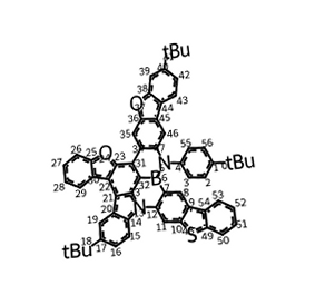 CC(C)(C)c1ccc(N2B3c4cc5c(cc4-n4c6ccc(C(C)(C)C)cc6c6c7c(oc8ccccc87)c(c3c64)-c3cc4oc6cc(C(C)(C)C)ccc6c4cc32)sc2ccccc25)cc1